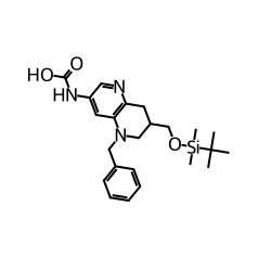 CC(C)(C)[Si](C)(C)OCC1Cc2ncc(NC(=O)O)cc2N(Cc2ccccc2)C1